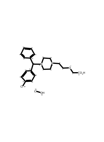 O=C(O)COCCN1CCN(C(c2ccccc2)c2ccc(Cl)cc2)CC1.OCl